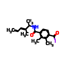 C=C/C=C(\C)C(NC(=O)c1ccc(C(=O)I)c(C)c1C)C(F)(F)F